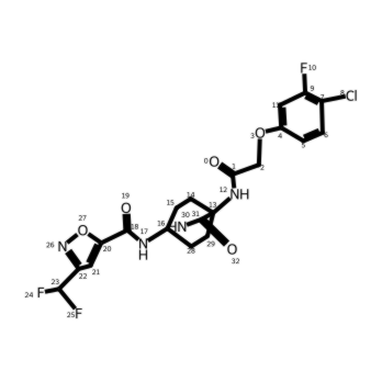 O=C(COc1ccc(Cl)c(F)c1)NC12CCC(NC(=O)c3cc(C(F)F)no3)(CC1)NC2=O